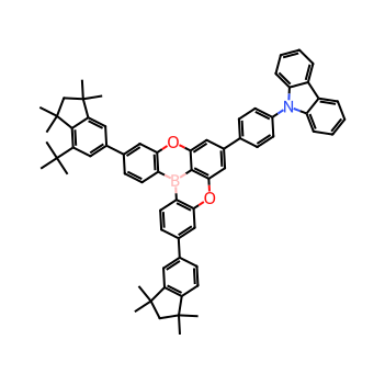 CC(C)(C)c1cc(-c2ccc3c(c2)Oc2cc(-c4ccc(-n5c6ccccc6c6ccccc65)cc4)cc4c2B3c2ccc(-c3ccc5c(c3)C(C)(C)CC5(C)C)cc2O4)cc2c1C(C)(C)CC2(C)C